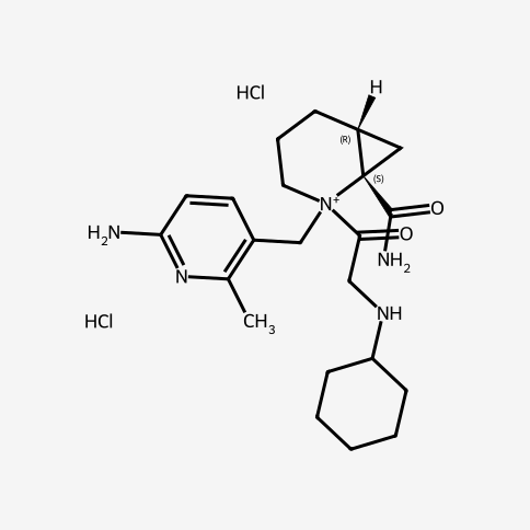 Cc1nc(N)ccc1C[N+]1(C(=O)CNC2CCCCC2)CCC[C@@H]2C[C@@]21C(N)=O.Cl.Cl